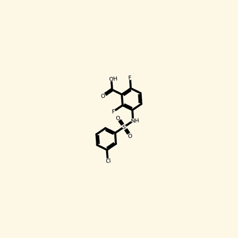 O=C(O)c1c(F)ccc(NS(=O)(=O)c2cccc(Cl)c2)c1F